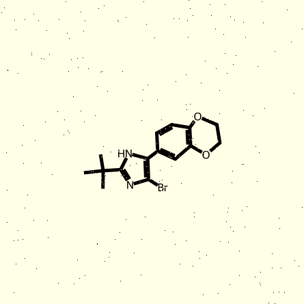 CC(C)(C)c1nc(Br)c(-c2ccc3c(c2)OCCO3)[nH]1